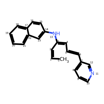 C\C=C/C(=C\C=C\c1cccnc1)Nc1ccc2ccccc2c1